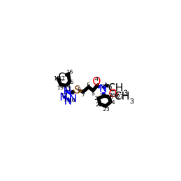 CCN(C(=O)CCCSc1nnnn1C1CCCCC1)C1CCCCC1OC